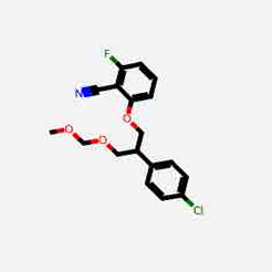 COCOCC(COc1cccc(F)c1C#N)c1ccc(Cl)cc1